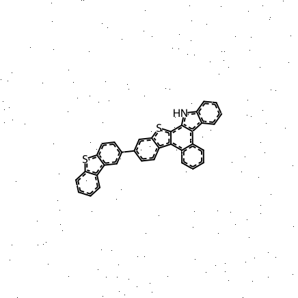 c1ccc2c(c1)[nH]c1c3sc4cc(-c5ccc6sc7ccccc7c6c5)ccc4c3c3ccccc3c21